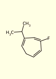 CC(C)C1=CCC=CC(F)=C1